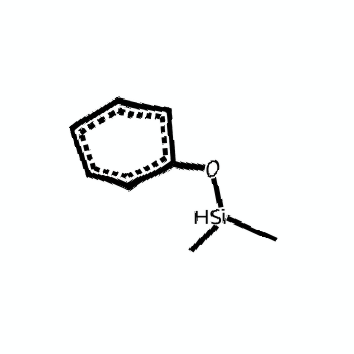 C[SiH](C)Oc1ccccc1